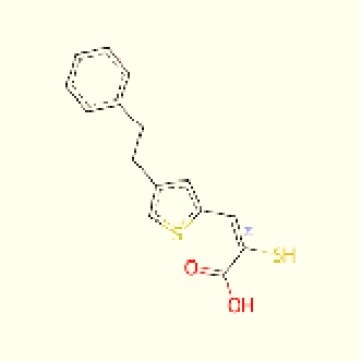 O=C(O)/C(S)=C\c1cc(CCc2ccccc2)cs1